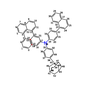 c1ccc(-c2cccc3cccc(-c4cccc(N(c5ccc(-c6cccc7ccccc67)cc5)c5ccc(C6CC7CC8CC(C7)C6C8)cc5)c4)c23)cc1